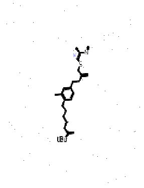 C=N/C(C)=C\SCC(=C)CCc1ccc(CCCCCC(C)C(C)(C)C)c(C)c1